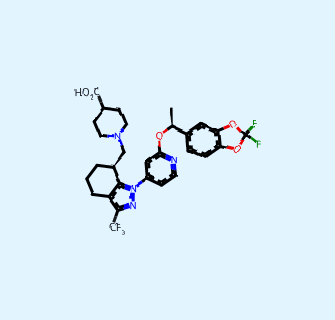 C[C@H](Oc1cc(-n2nc(C(F)(F)F)c3c2[C@H](CN2CCC(C(=O)O)CC2)CCC3)ccn1)c1ccc2c(c1)OC(F)(F)O2